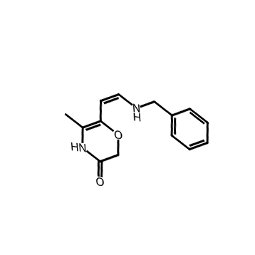 CC1=C(/C=C\NCc2ccccc2)OCC(=O)N1